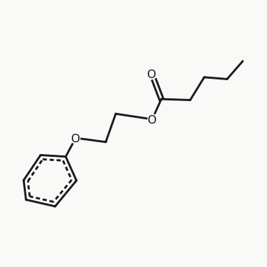 CCCCC(=O)OCCOc1ccccc1